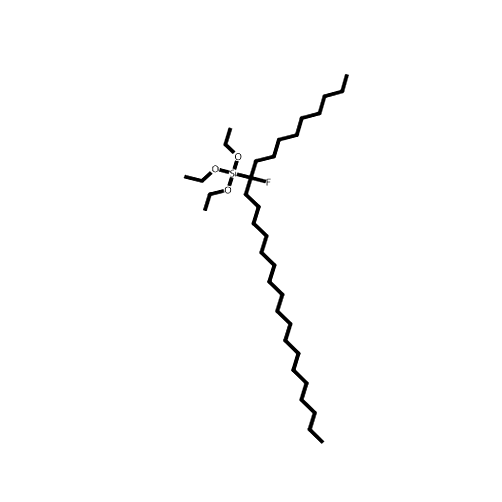 CCCCCCCCCCCCCCCCCCC(F)(CCCCCCCCC)[Si](OCC)(OCC)OCC